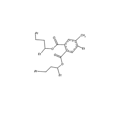 CCc1cc(C(=O)OC(CC)CCC(C)C)c(C(=O)OC(CC)CCC(C)C)cc1C